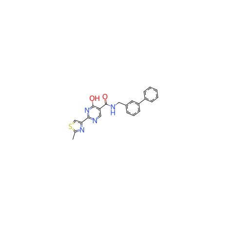 Cc1nc(-c2ncc(C(=O)NCc3cccc(-c4ccccc4)c3)c(O)n2)cs1